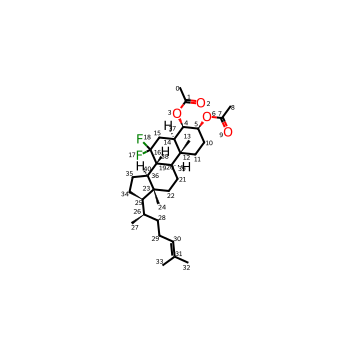 CC(=O)O[C@H]1[C@@H](OC(C)=O)CC[C@@]2(C)[C@H]1CC(F)(F)[C@@H]1[C@@H]2CC[C@]2(C)[C@@H]([C@H](C)CCC=C(C)C)CC[C@@H]12